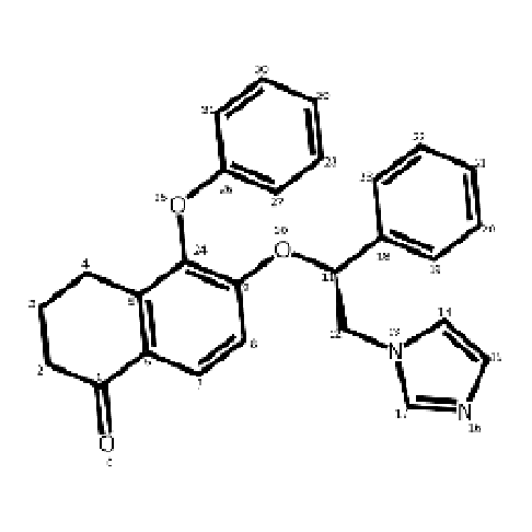 O=C1CCCc2c1ccc(O[C@H](Cn1ccnc1)c1ccccc1)c2Oc1ccccc1